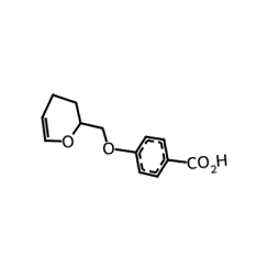 O=C(O)c1ccc(OCC2CCC=CO2)cc1